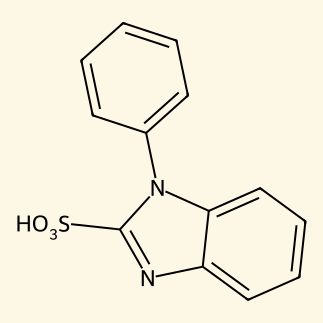 O=S(=O)(O)c1nc2ccccc2n1-c1ccccc1